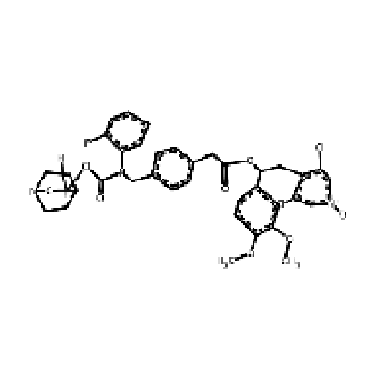 COc1ccc(C(Cc2c(Cl)c[n+]([O-])cc2Cl)OC(=O)Cc2ccc(CN(C(=O)O[C@H]3CN4CCC3CC4)c3ccccc3F)cc2)cc1OC